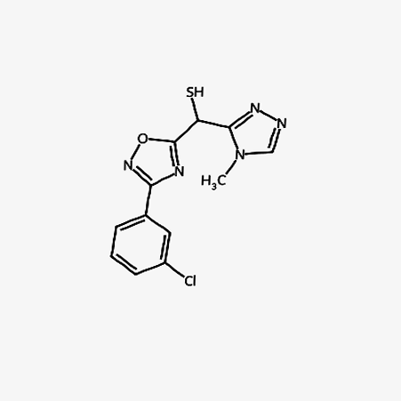 Cn1cnnc1C(S)c1nc(-c2cccc(Cl)c2)no1